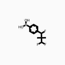 CC(C)(C(F)F)C(F)c1ccc(B(O)O)cc1